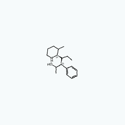 CCC([C@H]1NCCCC1C)[C@@H](c1ccccc1)C(C)O